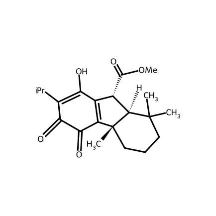 COC(=O)[C@H]1C2=C(C(=O)C(=O)C(C(C)C)=C2O)[C@@]2(C)CCCC(C)(C)[C@H]12